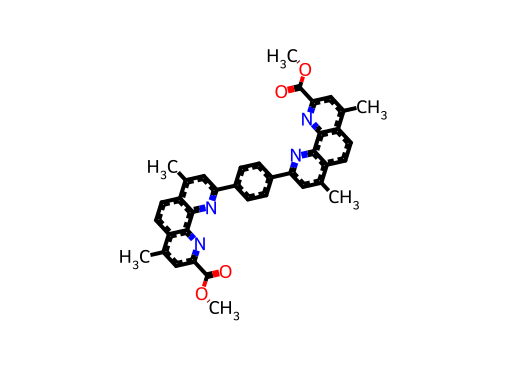 COC(=O)c1cc(C)c2ccc3c(C)cc(-c4ccc(-c5cc(C)c6ccc7c(C)cc(C(=O)OC)nc7c6n5)cc4)nc3c2n1